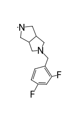 Fc1ccc(CN2CC3C[N]CC3C2)c(F)c1